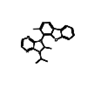 Cc1ccc2c(oc3ccccc32)c1N1c2nccnc2N(C(C)C)C1C